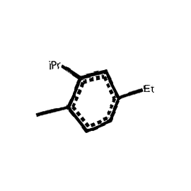 CCc1ccc(C)c(C(C)C)c1